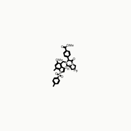 COC(=O)c1ccc(C2C(=O)N3C[C@H](F)C[C@H]3C(=O)N2Cc2c(OC)cc(C)c3c2ccn3S(=O)(=O)c2ccc(C)cc2)cc1